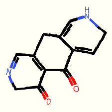 O=C1CN=CC2=C1C(=O)C1=CCNC=C1C2